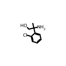 CC(N)(CO)c1ccccc1Cl